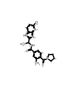 Cc1cc(C(=O)NC(C)c2nc3nc(Cl)ccc3[nH]2)ccc1C(=O)N1CCCC1